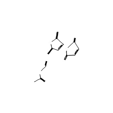 C=COC(C)=O.O=C1C=CC(=O)N1.O=C1C=CC(=O)N1